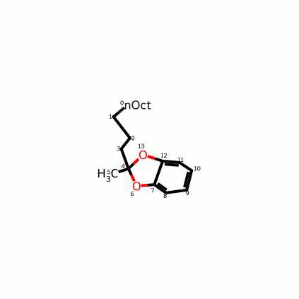 CCCCCCCCCCCC1(C)Oc2ccccc2O1